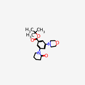 CC(C)(C)OC(=O)c1cc(N2CCOCC2)cc(N2CCCCC2=O)c1